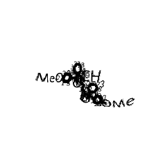 COc1ccc(C(=O)C2(N(C)CCCN(C)C3(C(=O)c4ccc(OC)cc4)CCCCC3)CCCCC2)cc1